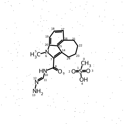 CS(=O)(=O)O.Cn1c(C(=O)NC=NN)c2c3c(cccc31)CCCC2